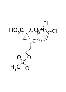 CS(=O)(=O)OCC[C@]1(c2ccc(Cl)c(Cl)c2)CC1(C(=O)O)C(=O)O